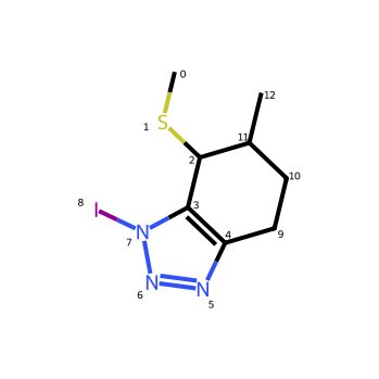 CSC1c2c(nnn2I)CCC1C